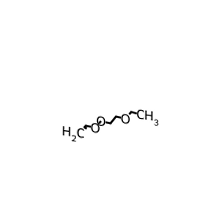 C=COOCCOCC